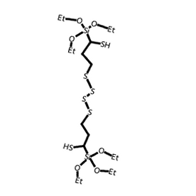 CCO[Si](OCC)(OCC)C(S)CCSSSSCCC(S)[Si](OCC)(OCC)OCC